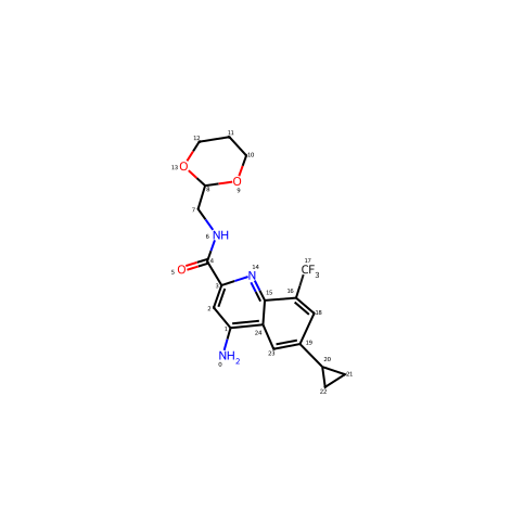 Nc1cc(C(=O)NCC2OCCCO2)nc2c(C(F)(F)F)cc(C3CC3)cc12